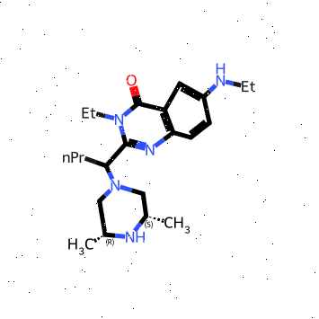 CCCC(c1nc2ccc(NCC)cc2c(=O)n1CC)N1C[C@@H](C)N[C@@H](C)C1